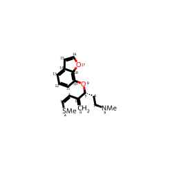 C=C(/C=C\SC)[C@@H](CCNC)Oc1cccc2ccoc12